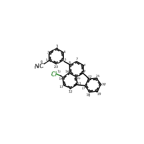 N#Cc1cccc(-c2ccc3c4c(ccc(Cl)c24)-c2ccccc2-3)c1